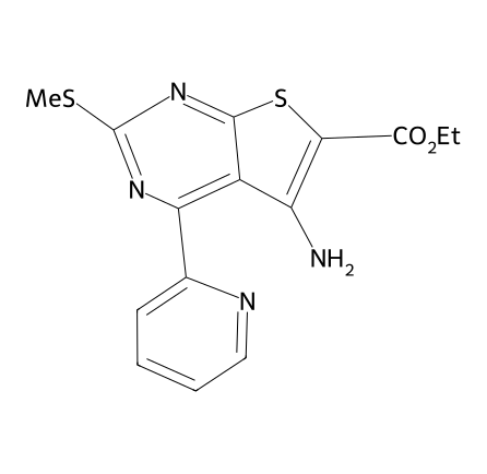 CCOC(=O)c1sc2nc(SC)nc(-c3ccccn3)c2c1N